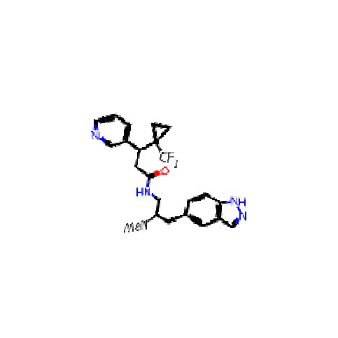 CNC(CNC(=O)CC(c1cccnc1)C1(C(F)(F)F)CC1)Cc1ccc2[nH]ncc2c1